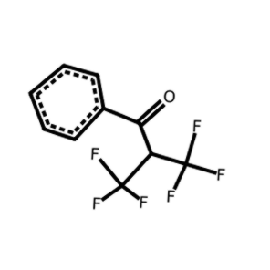 O=C(c1ccccc1)C(C(F)(F)F)C(F)(F)F